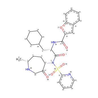 C[C@@H]1CC[C@H](N(C(=O)[C@H](CC2CCCCC2)NC(=O)c2cc3ccccc3o2)S(=O)(=O)c2ccccn2)C(=O)CN1